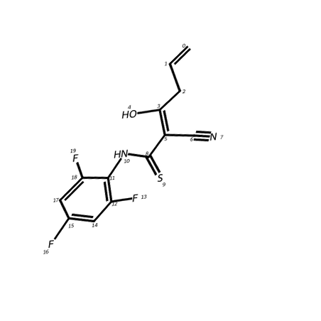 C=CCC(O)=C(C#N)C(=S)Nc1c(F)cc(F)cc1F